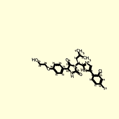 CC(C)C[C@@H](c1ncc(-c2ccc(I)cc2Cl)[nH]1)N1C(=O)NC(c2ccc(OCCO)cc2)C1=O